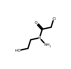 NN(CCO)C(=O)CCl